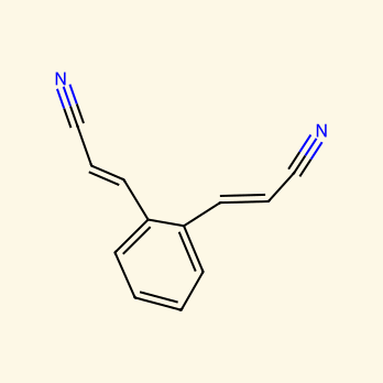 N#CC=Cc1ccccc1C=CC#N